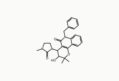 CN1CCN(C2c3c(c4ccccc4n(Cc4ccccc4)c3=O)OC(C)(C)C2O)C1=O